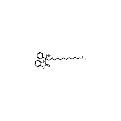 CCCCCCCCCCCCC(N)(c1ccccc1)n1c(=S)sc2ccccc21